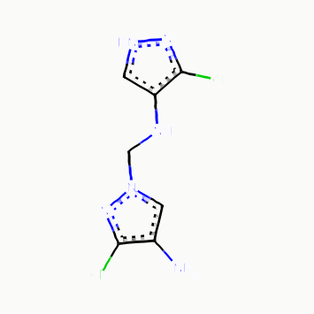 Nc1cn(CNc2c[nH]nc2Cl)nc1Cl